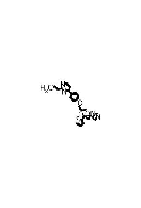 CCCc1nccc(-c2ccc(OCC3COC(Cn4cncn4)(c4cccs4)O3)cc2)n1